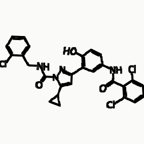 O=C(Nc1ccc(O)c(-c2cc(C3CC3)n(C(=O)NCc3ccccc3Cl)n2)c1)c1c(Cl)cccc1Cl